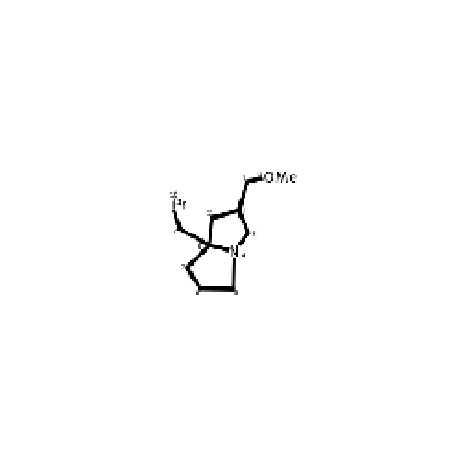 COCC1CN2CCCC2(CC(C)C)C1